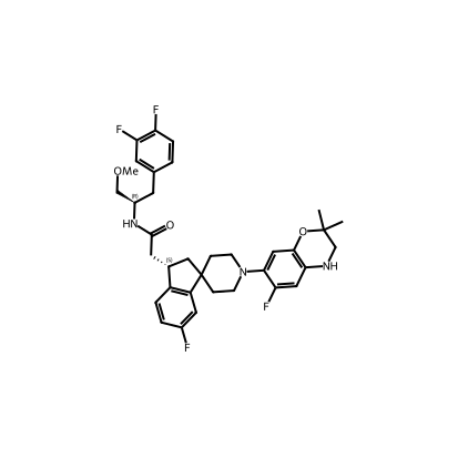 COC[C@@H](Cc1ccc(F)c(F)c1)NC(=O)C[C@@H]1CC2(CCN(c3cc4c(cc3F)NCC(C)(C)O4)CC2)c2cc(F)ccc21